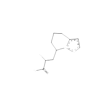 NC(=O)C(N)CC1CCCc2ccnn21